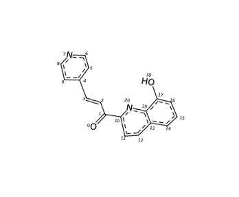 O=C(C=Cc1ccncc1)c1ccc2cccc(O)c2n1